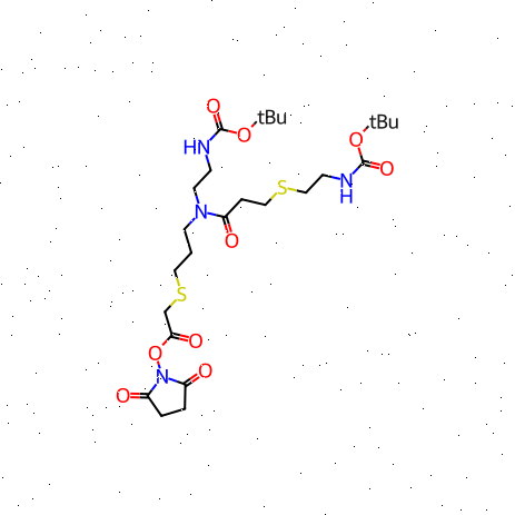 CC(C)(C)OC(=O)NCCSCCC(=O)N(CCCSCC(=O)ON1C(=O)CCC1=O)CCNC(=O)OC(C)(C)C